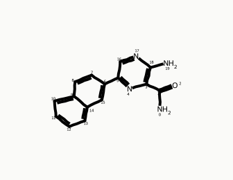 NC(=O)c1nc(-c2ccc3ccccc3c2)cnc1N